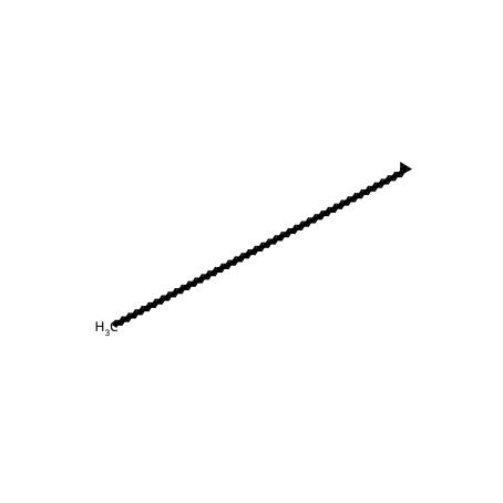 CCCCCCCCCCCCCCCCCCCCCCCCCCCCCCCCCCCCCCCCCCCCCCCCCCCCCCCCCCCCCCCCCCCCCCCCCCCCCCCCCCCCCCCC1CC1